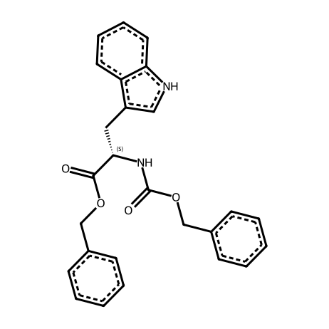 O=C(N[C@@H](Cc1c[nH]c2ccccc12)C(=O)OCc1ccccc1)OCc1ccccc1